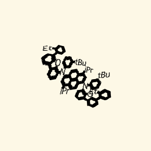 CCc1ccccc1-c1cccc2c1oc1c(N(c3cccc(C(C)(C)C)c3)c3cc(C(C)C)c4ccc5c(N(c6cccc(C(C)(C)C)c6)c6cccc7c6oc6c(-c8ccccc8CC)cccc67)cc(C(C)C)c6ccc3c4c65)cccc12